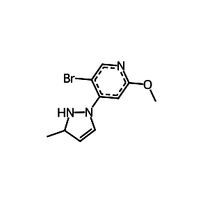 COc1cc(N2C=CC(C)N2)c(Br)cn1